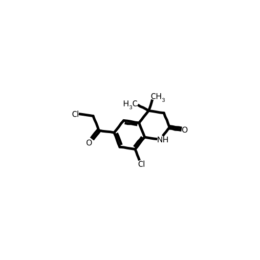 CC1(C)CC(=O)Nc2c(Cl)cc(C(=O)CCl)cc21